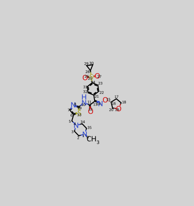 CN1CCN(Cc2cnc(NC(=O)/C(=N/O[C@@H]3CCOC3)c3ccc(S(=O)(=O)C4CC4)cc3)s2)CC1